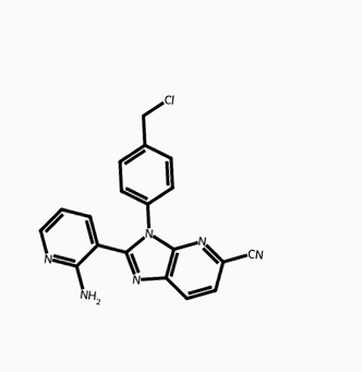 N#Cc1ccc2nc(-c3cccnc3N)n(-c3ccc(CCl)cc3)c2n1